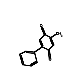 CC1=CC(=O)C(c2ccccc2)=CC1=O